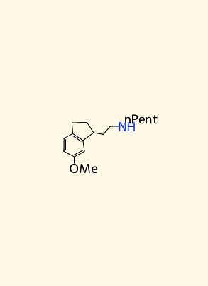 CCCCCNCCC1CCc2ccc(OC)cc21